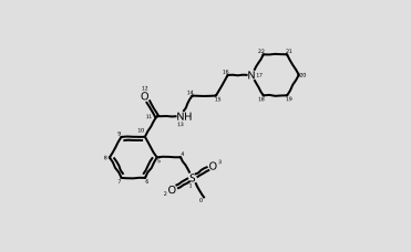 CS(=O)(=O)Cc1ccccc1C(=O)NCCCN1CCCCC1